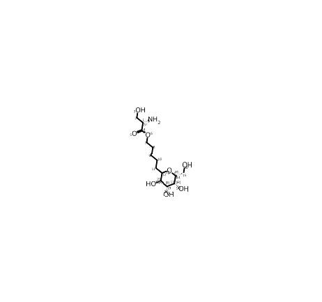 N[C@@H](CO)C(=O)OCCCCCC1O[C@H](CO)[C@H](O)[C@H](O)[C@H]1O